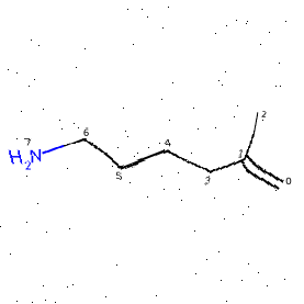 C=C(C)CCCCN